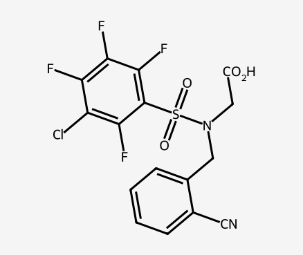 N#Cc1ccccc1CN(CC(=O)O)S(=O)(=O)c1c(F)c(F)c(F)c(Cl)c1F